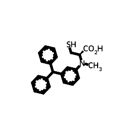 CN(c1cccc(C(c2ccccc2)c2ccccc2)c1)[C@@H](CS)C(=O)O